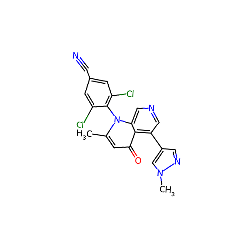 Cc1cc(=O)c2c(-c3cnn(C)c3)cncc2n1-c1c(Cl)cc(C#N)cc1Cl